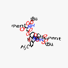 CCCCCC(=O)[C@H](CC(=O)OC1=CC[C@@]2(OC(=O)C[C@H](NC(=O)OC(C)(C)C)C(=O)CCCCC)[C@H]3Cc4ccc(C)c5c4[C@@]2(CCN3C)[C@H]1O5)NC(=O)OC(C)(C)C